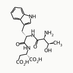 C[C@@H](O)[C@H](N)C(=O)N[C@@H](Cc1c[nH]c2ccccc12)C(=O)N[C@@H](CC(=O)O)C(=O)O